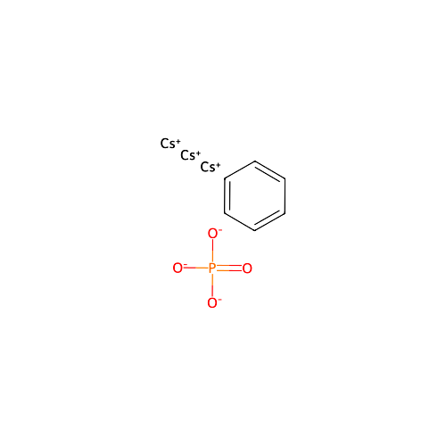 O=P([O-])([O-])[O-].[Cs+].[Cs+].[Cs+].c1ccccc1